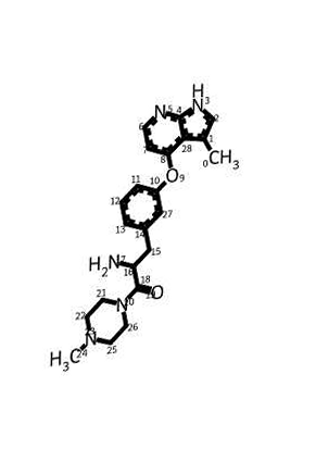 Cc1c[nH]c2nccc(Oc3cccc(CC(N)C(=O)N4CCN(C)CC4)c3)c12